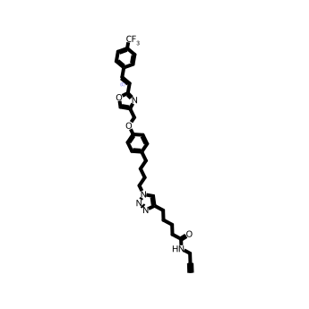 C#CCNC(=O)CCCCc1cn(CCCCc2ccc(OCc3coc(/C=C/c4ccc(C(F)(F)F)cc4)n3)cc2)nn1